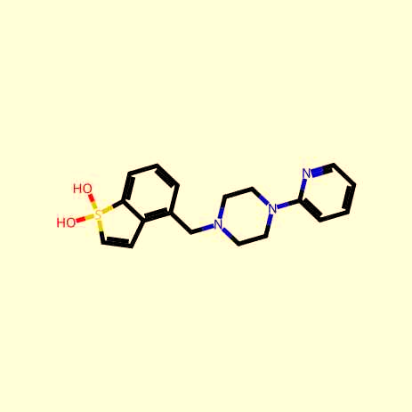 OS1(O)C=Cc2c(CN3CCN(c4ccccn4)CC3)cccc21